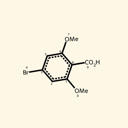 COc1cc(Br)cc(OC)c1C(=O)O